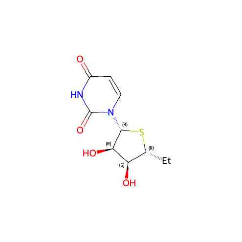 CC[C@H]1S[C@@H](n2ccc(=O)[nH]c2=O)[C@H](O)[C@@H]1O